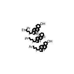 CC(=O)CCC[C@@H](C)[C@H]1CC[C@H]2[C@@H]3CC=C4C[C@@H](O)CC[C@]4(C)[C@H]3CC[C@]12C.CC(C)CCC[C@@H](C)[C@H]1CC[C@H]2[C@@H]3CC[C@@H]4CCCC(O)[C@]4(C)[C@H]3CC[C@]12C.CC[C@H](CC[C@@H](C)[C@H]1CC[C@H]2[C@@H]3CC=C4C[C@@H](O)CC[C@]4(C)[C@H]3CC[C@]12C)C(C)C